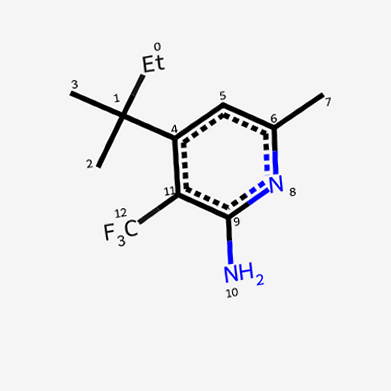 CCC(C)(C)c1cc(C)nc(N)c1C(F)(F)F